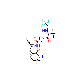 CC1(C)CC[C@@H](C[C@@H](C#N)NC(=O)CNC(=O)[C@@H](NCC(F)(F)F)C(C)(C)C)C(=O)N1